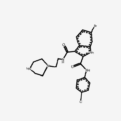 O=C(Nc1ccc(Cl)cc1)c1[nH]c2cc(Br)ccc2c1C(=O)NCCN1CCNCC1